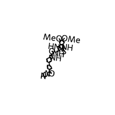 COc1cc2[nH]c(=S)n(CCNC(=O)c3cc4ccc(-c5ccc(C(=O)N6CCN(C)CC6)cc5)cc4[nH]3)c(=N)c2cc1OC